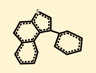 c1ccc(-c2csc3ccc4ccccc4c23)cc1